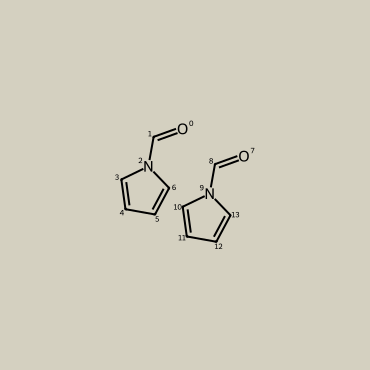 O=Cn1cccc1.O=Cn1cccc1